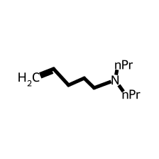 C=CCCCN(CCC)CCC